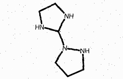 C1CNN([C]2NCCN2)C1